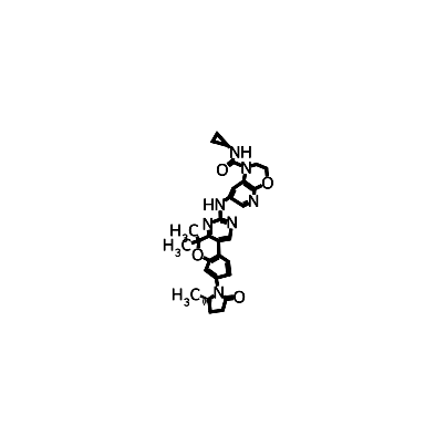 C[C@@H]1CCC(=O)N1c1ccc2c(c1)OC(C)(C)c1nc(Nc3cnc4c(c3)N(C(=O)NC3CC3)CCO4)ncc1-2